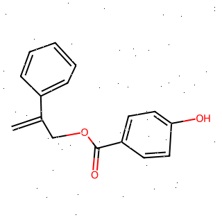 C=C(COC(=O)c1ccc(O)cc1)c1ccccc1